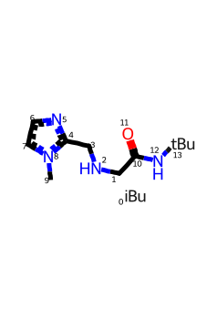 CC[C@H](C)C(NCc1nccn1C)C(=O)NC(C)(C)C